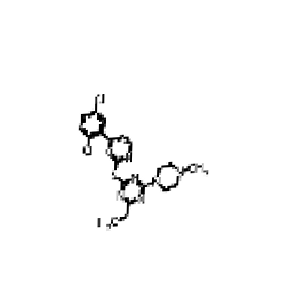 CCc1nc(Sc2nccc(-c3cc(Cl)ccc3Cl)n2)nc(N2CCN(C)CC2)n1